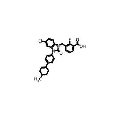 CC1CC=C(c2ccc(-n3c(=O)n(Cc4cccc(C(=O)O)c4F)c4ccc(Cl)cc43)cc2)CC1